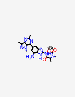 Cc1nc(-c2cc(N)c3[nH]c(NC(=O)C(C)N(C)C(=O)OC(C)(C)C)nc3c2)c2c(n1)c(C)nn2C